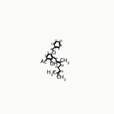 CC(=O)c1ccc(OCc2ccccc2)c(C/C=C(\C)CCC=C(C)C)c1O